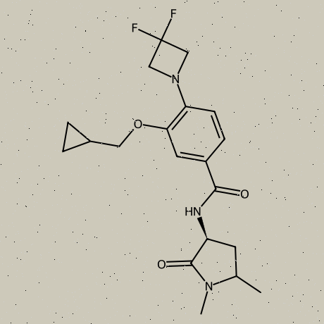 CC1C[C@H](NC(=O)c2ccc(N3CC(F)(F)C3)c(OCC3CC3)c2)C(=O)N1C